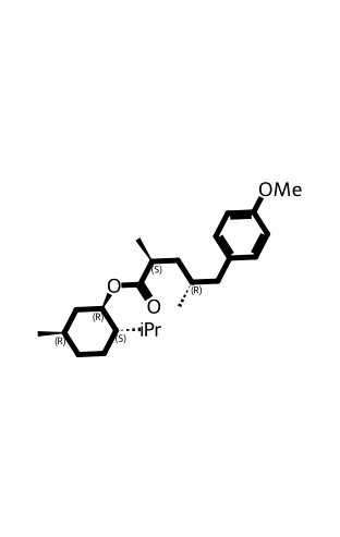 COc1ccc(C[C@H](C)C[C@H](C)C(=O)O[C@@H]2C[C@H](C)CC[C@H]2C(C)C)cc1